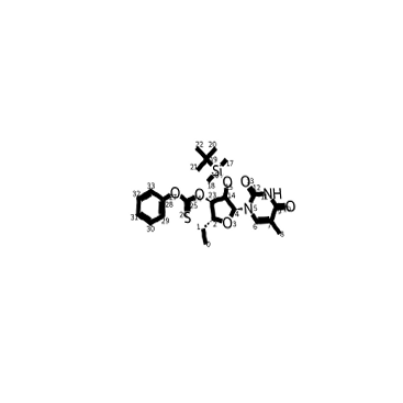 CC[C@H]1O[C@@H](n2cc(C)c(=O)[nH]c2=O)C(O[Si](C)(C)C(C)(C)C)[C@H]1OC(=S)Oc1ccccc1